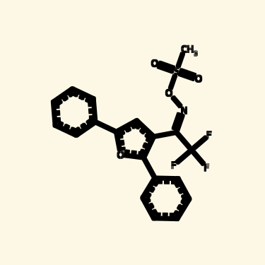 CS(=O)(=O)O/N=C(\c1cc(-c2ccccc2)oc1-c1ccccc1)C(F)(F)F